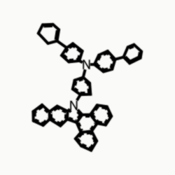 C1=C=C(c2ccc(N(c3ccc(C4=CC=CCC4)cc3)c3ccc(-n4c5cc6ccccc6cc5c5c6ccccc6c6ccccc6c54)cc3)cc2)C=CC=1